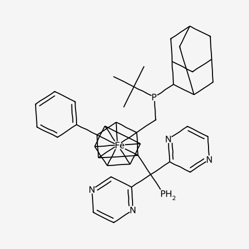 CC(C)(C)P(C[C]12[CH]3[C]4(c5ccccc5)[CH]5[C]1(C(P)(c1cnccn1)c1cnccn1)[Fe]35421678[CH]2[CH]1[CH]6[CH]7[CH]28)C1C2CC3CC(C2)CC1C3